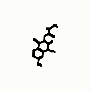 CNC(=O)Cn1c(=O)c2ccc(C)cc2n(C)c1=O